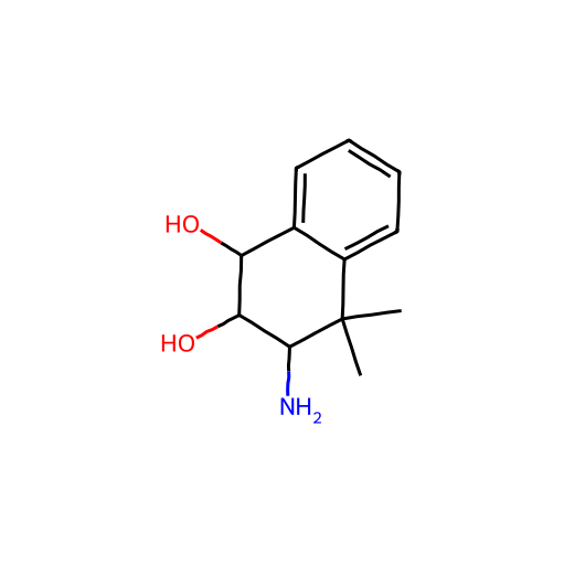 CC1(C)c2ccccc2C(O)C(O)C1N